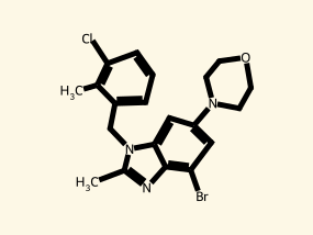 Cc1c(Cl)cccc1Cn1c(C)nc2c(Br)cc(N3CCOCC3)cc21